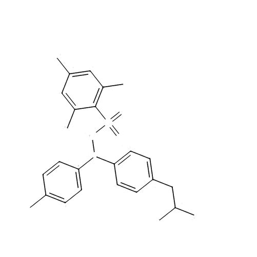 Cc1ccc([I+](OS(=O)(=O)c2c(C)cc(C)cc2C)c2ccc(CC(C)C)cc2)cc1